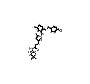 Cc1cc(CCC(=O)NS(=O)(=O)CC(F)(F)F)nn1Cc1cc(Cl)ccc1OCc1ccc(Cl)cc1